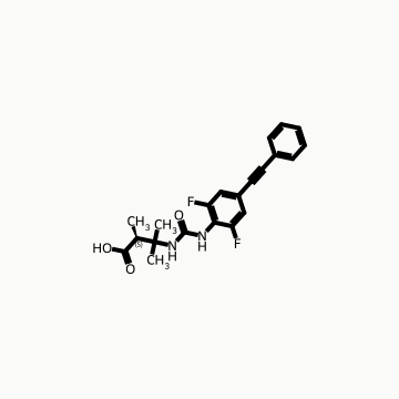 C[C@H](C(=O)O)C(C)(C)NC(=O)Nc1c(F)cc(C#Cc2ccccc2)cc1F